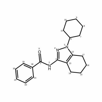 O=C(Nc1nn(C2CCCCC2)c2c1CCCC2)c1ccccc1